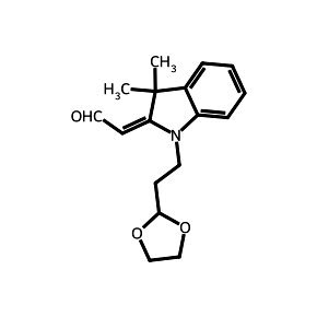 CC1(C)/C(=C\C=O)N(CCC2OCCO2)c2ccccc21